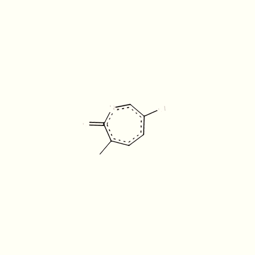 Cc1ccc(O)cnc1=O